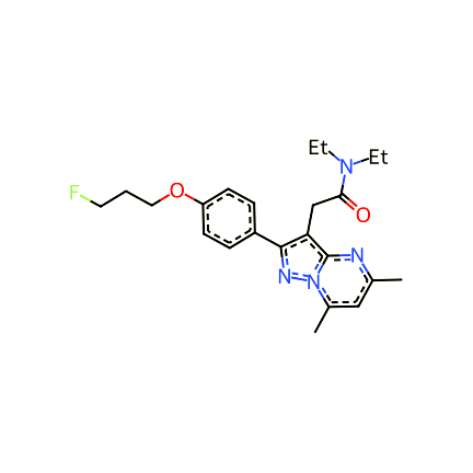 CCN(CC)C(=O)Cc1c(-c2ccc(OCCCF)cc2)nn2c(C)cc(C)nc12